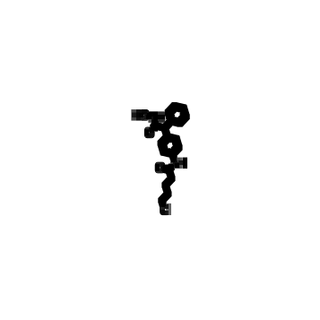 O=C(CCCCCl)Nc1ccc(C(C(=O)NO)c2ccccc2)cc1